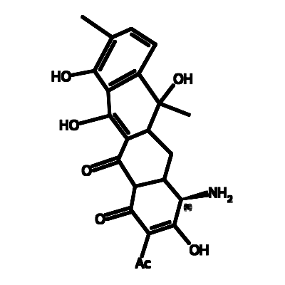 CC(=O)C1=C(O)[C@H](N)C2CC3C(=C(O)c4c(ccc(C)c4O)C3(C)O)C(=O)C2C1=O